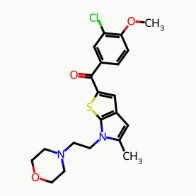 COc1ccc(C(=O)c2cc3cc(C)n(CCN4CCOCC4)c3s2)cc1Cl